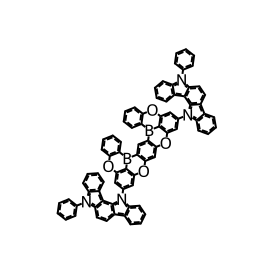 c1ccc(-n2c3ccccc3c3c2ccc2c4ccccc4n(-c4cc5c6c(c4)Oc4cc7c(cc4B6c4ccccc4O5)B4c5ccccc5Oc5cc(-n6c8ccccc8c8ccc9c(c%10ccccc%10n9-c9ccccc9)c86)cc(c54)O7)c23)cc1